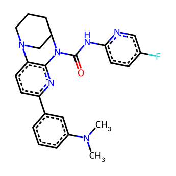 CN(C)c1cccc(-c2ccc3c(n2)N(C(=O)Nc2ccc(F)cn2)C2CCCN3C2)c1